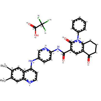 COc1cc2nccc(Nc3ccc(NC(=O)c4cc5c(n(-c6ccccc6)c4=O)CCCC5=O)nc3)c2cc1OC.O=C(O)C(F)(F)F